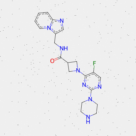 O=C(NCc1cnc2ccccn12)C1CN(c2nc(N3CCNCC3)ncc2F)C1